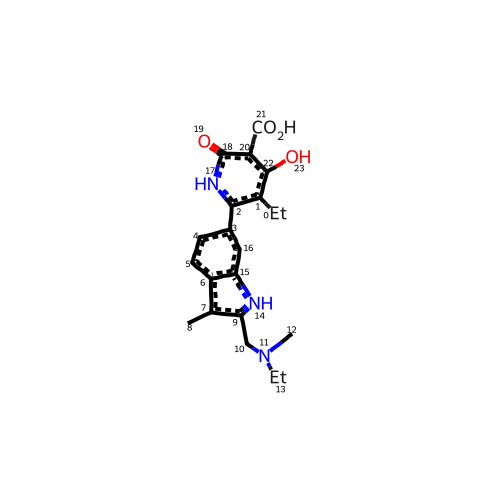 CCc1c(-c2ccc3c(C)c(CN(C)CC)[nH]c3c2)[nH]c(=O)c(C(=O)O)c1O